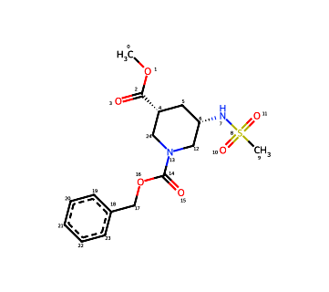 COC(=O)[C@@H]1C[C@H](NS(C)(=O)=O)CN(C(=O)OCc2ccccc2)C1